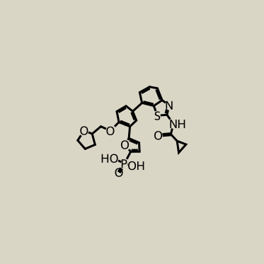 O=C(Nc1nc2cccc(-c3ccc(OCC4CCCO4)c(-c4ccc(P(=O)(O)O)o4)c3)c2s1)C1CC1